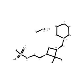 CC1(C)[C@@H](CCOS(C)(=O)=O)C[C@H]1CN1CCOCC1.CS(=O)(=O)O